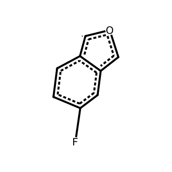 Fc1ccc2[c]occ2c1